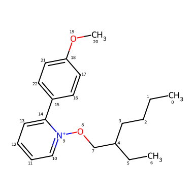 CCCCC(CC)CO[n+]1ccccc1-c1ccc(OC)cc1